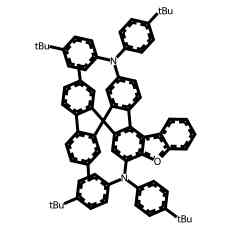 Cc1ccc2c(c1)C1(c3cc(C)ccc3-2)c2cc(N(c3ccc(C(C)(C)C)cc3)c3ccc(C(C)(C)C)cc3)ccc2-c2c1cc(N(c1ccc(C(C)(C)C)cc1)c1ccc(C(C)(C)C)cc1)c1oc3ccccc3c21